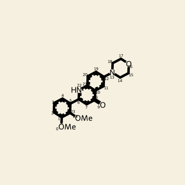 COc1cccc(-c2cc(=O)c3cc(N4CCOCC4)ccc3[nH]2)c1OC